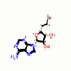 Nc1ncnc2c1ncn2[C@@H]1O[C@H](CCS)[C@H](O)C1O